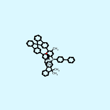 C=Cc1cccc(-c2ccc3c(c2)C2(c4ccccc4-3)c3ccccc3-c3ccc(-c4cc(C)c(N(c5ccc(-c6ccccc6)cc5)c5ccc6c(c5)C(C)(C)c5ccccc5-6)cc4C)cc32)c1